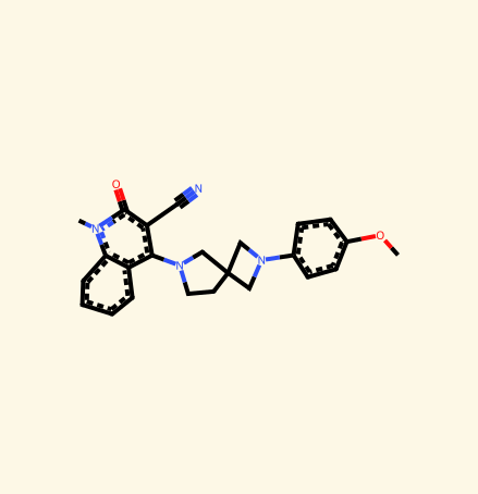 COc1ccc(N2CC3(CCN(c4c(C#N)c(=O)n(C)c5ccccc45)C3)C2)cc1